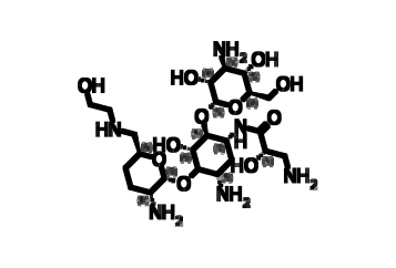 NC[C@H](O)C(=O)N[C@@H]1C[C@H](N)C(O[C@H]2O[C@H](CNCCO)CC[C@H]2N)[C@H](O)[C@H]1O[C@H]1O[C@H](CO)[C@@H](O)[C@H](N)[C@H]1O